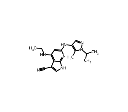 CCNc1cc(Nc2cnn(C(C)C)c2C)nc2[nH]cc(C#N)c12